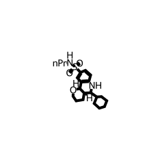 CCCNS(=O)(=O)c1ccc2c(c1)[C@H]1OCCC[C@H]1C(C1CCCCC1)N2